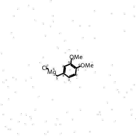 COc1ccc([CH2][Mg][Cl])cc1OC